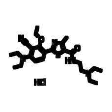 CCOc1c(-c2nc(C)c(C(=O)NCCN(CC)CC)s2)ccc(N(CC)CC)c1C#N.Cl